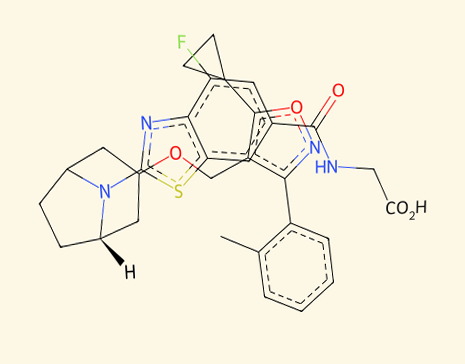 Cc1ccccc1-c1noc(C2CC2)c1COC1CC2CC[C@@H](C1)N2c1nc2c(F)cc(C(=O)NCC(=O)O)cc2s1